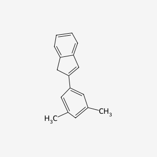 Cc1cc(C)cc(C2=Cc3ccccc3C2)c1